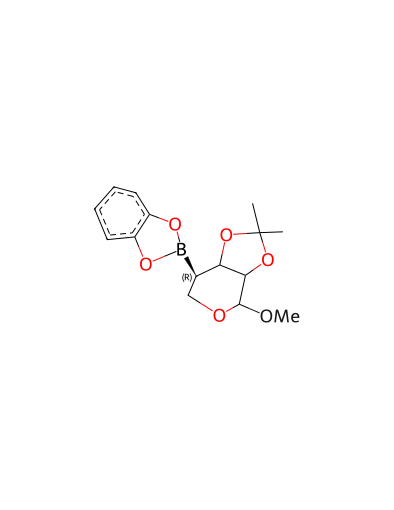 COC1OC[C@@H](B2Oc3ccccc3O2)C2OC(C)(C)OC12